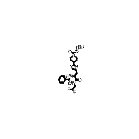 CC(C)(C)OC(=O)N1CCC(c2nc(/C=C(\NC(=O)c3ccccc3)C(=O)NCC(F)F)cs2)CC1